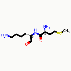 CSCC[C@H](N)C(=O)N[C@H](C=O)CCCCN